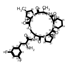 C[C@@H]1C[C@H]2C(=O)OC[C@H](NC(=O)[C@@H](N)Cc3cc(F)cc(F)c3)C(=O)N3CCC[C@H]3C(=O)N3CCCC[C@H]3C(=O)N[C@@H](C)C(=O)N2C1